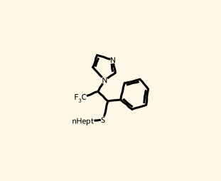 CCCCCCCSC(c1ccccc1)C(n1ccnc1)C(F)(F)F